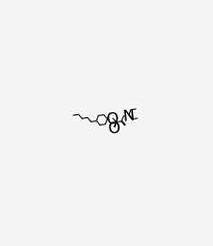 C=C(CN(CC)CC)C(=O)OC1CCC(CCCCC)CC1